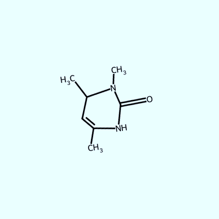 CC1=CC(C)N(C)C(=O)N1